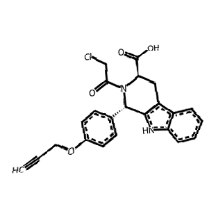 C#CCOc1ccc([C@H]2c3[nH]c4ccccc4c3C[C@H](C(=O)O)N2C(=O)CCl)cc1